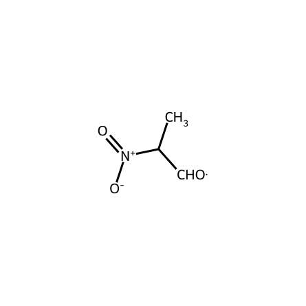 CC([C]=O)[N+](=O)[O-]